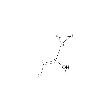 CC=C(O)C1CC1